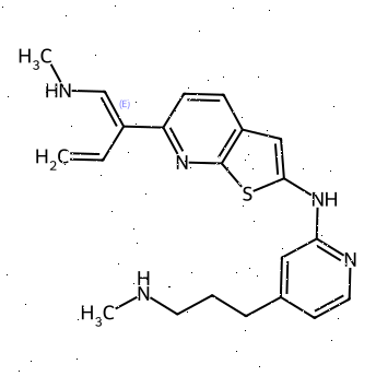 C=C/C(=C\NC)c1ccc2cc(Nc3cc(CCCNC)ccn3)sc2n1